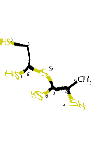 CC(S)C(S)SC(S)CS